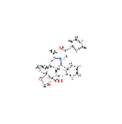 COCC12C=C(CC(C)N(CC(=O)c3ccccc3)Cc3ccccc3)C=CC1(O)OCO2